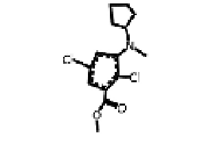 COC(=O)c1cc(Cl)cc(N(C)C2CCCC2)c1Cl